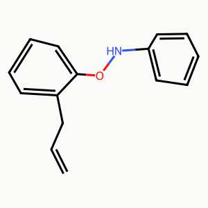 C=CCc1ccccc1ONc1ccccc1